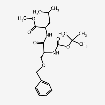 COC(=O)[C@@H](CC(C)C)NC(=O)[C@H](COCc1ccccc1)NC(=O)OC(C)(C)C